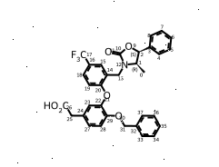 C[C@@H]1[C@H](c2ccccc2)OC(=O)N1Cc1cc(C(F)(F)F)ccc1Oc1cc(CC(=O)O)ccc1OCc1ccccc1